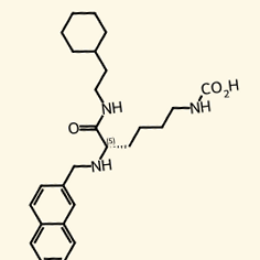 O=C(O)NCCCC[C@H](NCc1ccc2ccccc2c1)C(=O)NCCC1CCCCC1